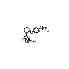 O=S(O)O[C@@H](CC(F)(F)F)[C@H]1CCCC[C@@H]1Oc1ccc(OC(F)(F)F)cc1